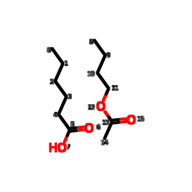 CCCCCC(=O)O.CCCCOC(C)=O